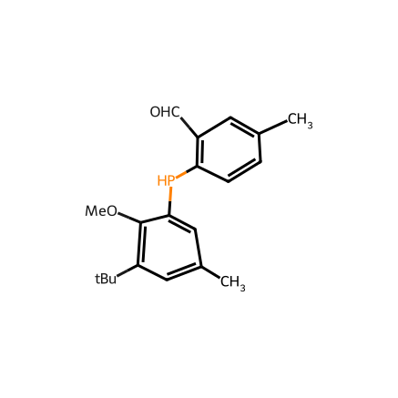 COc1c(Pc2ccc(C)cc2C=O)cc(C)cc1C(C)(C)C